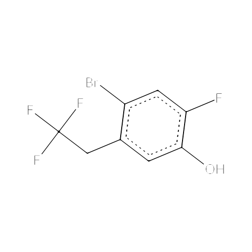 Oc1cc(CC(F)(F)F)c(Br)cc1F